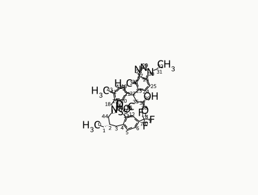 CC[C@H]1Cc2ccc(C(F)(F)F)cc2S(=O)(=O)N(Cc2cc([C@@H](c3ccc4c(nnn4CC)c3C)[C@@H](C)C(=O)O)ccc2C)C1